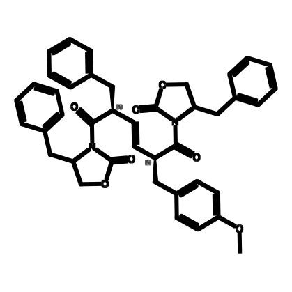 COc1ccc(C[C@@H](C=C[C@H](Cc2ccccc2)C(=O)N2C(=O)OCC2Cc2ccccc2)C(=O)N2C(=O)OCC2Cc2ccccc2)cc1